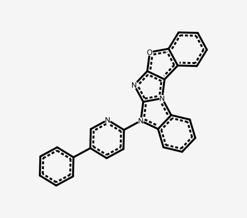 c1ccc(-c2ccc(-n3c4ccccc4n4c5c(nc34)oc3ccccc35)nc2)cc1